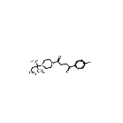 CCC(C)(C)N1CCN(C(=O)CCC(=O)c2ccc(F)cc2)CC1